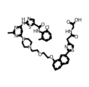 Cc1nc(Nc2ncc(C(=O)Nc3c(C)cccc3Cl)s2)cc(N2CCN(CCOCCOc3cccc4ccc(-c5nc(CC(=O)NCC(=O)O)cs5)cc34)CC2)n1